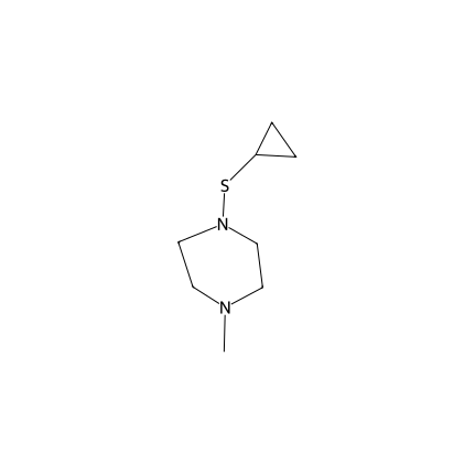 CN1CCN(SC2CC2)CC1